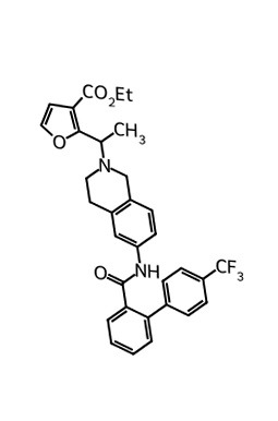 CCOC(=O)c1ccoc1C(C)N1CCc2cc(NC(=O)c3ccccc3-c3ccc(C(F)(F)F)cc3)ccc2C1